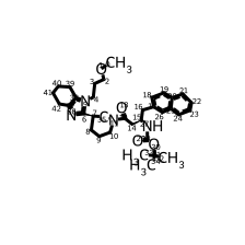 COCCCn1c([C@@H]2CCCN(C(=O)C[C@@H](Cc3ccc4ccccc4c3)NC(=O)OC(C)(C)C)C2)nc2c1CCCC2